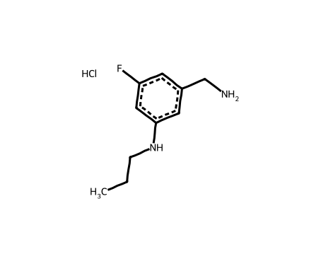 CCCNc1cc(F)cc(CN)c1.Cl